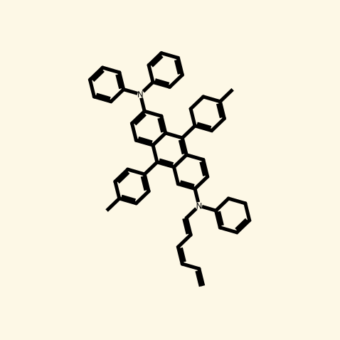 C=C/C=C\C=C\N(C1=CC=CCC1)c1ccc2c(C3=CC=C(C)CC3)c3cc(N(c4ccccc4)c4ccccc4)ccc3c(-c3ccc(C)cc3)c2c1